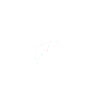 Cl.Cl.Cl.Cl.Cl.O=P(O)(O)O.[SbH3]